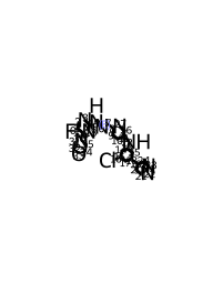 Fc1cnc(N/N=C/c2ccc(Nc3cc(Cl)cc(-c4ccnnc4)c3)cn2)nc1N1CCOCC1